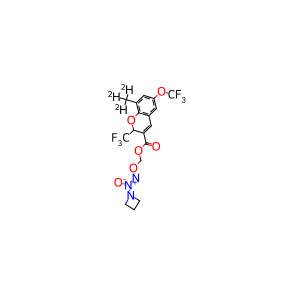 [2H]C([2H])([2H])c1cc(OC(F)(F)F)cc2c1OC(C(F)(F)F)C(C(=O)OCON=[N+]([O-])N1CCC1)=C2